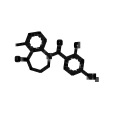 Cc1cccc2c1C(=O)CCCN2C(=O)c1ccc(N)cc1Cl